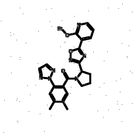 CCOc1ncccc1-c1nc(C2CCCN2C(=O)c2cc(C)c(C)cc2-n2nccn2)no1